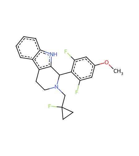 COc1cc(F)c(C2c3[nH]c4ccccc4c3CCN2CC2(F)CC2)c(F)c1